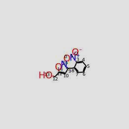 O=[N+]([O-])c1ccccc1-c1cc(CO)on1